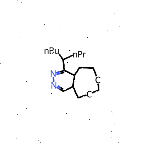 CCCCC(CCC)C1=NN=CC2CCCCCCC12